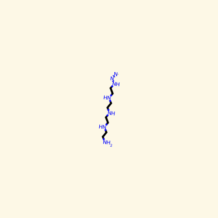 [N]=NNCCNCCNCCNCCN